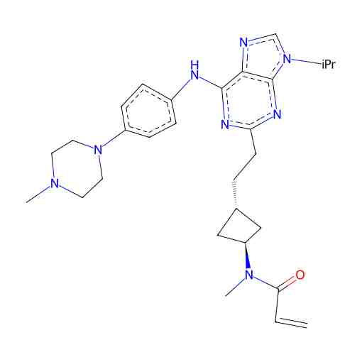 C=CC(=O)N(C)[C@H]1C[C@H](CCc2nc(Nc3ccc(N4CCN(C)CC4)cc3)c3ncn(C(C)C)c3n2)C1